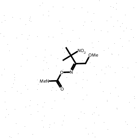 CNC(=O)ON=C(COC)C(C)(C)[N+](=O)[O-]